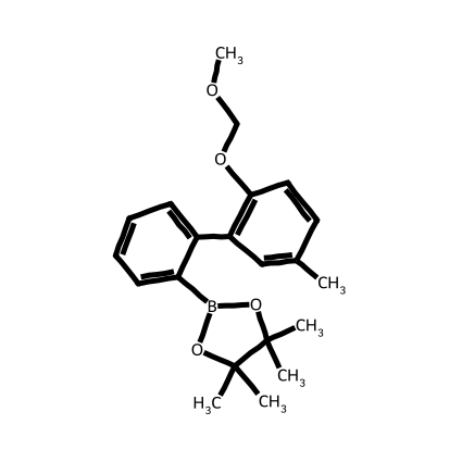 COCOc1ccc(C)cc1-c1ccccc1B1OC(C)(C)C(C)(C)O1